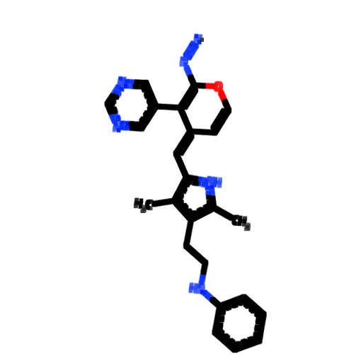 Cc1[nH]c(C=C2C=COC(N=[N])=C2c2cncnc2)c(C)c1CCNc1ccccc1